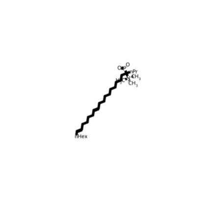 CCCCCCC=CCCCCC=CCCCCCCCCCC(CCC)(P(=O)=O)[N+](C)(C)C